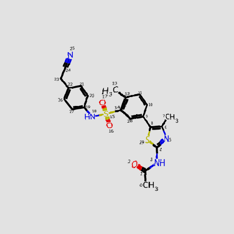 CC(=O)Nc1nc(C)c(-c2ccc(C)c(S(=O)(=O)Nc3ccc(CC#N)cc3)c2)s1